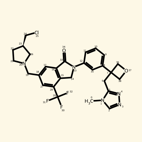 Cn1cnnc1CC1(c2cccc(N3Cc4c(cc(CN5CC[C@@H](CCl)C5)cc4C(F)(F)F)C3=O)c2)COC1